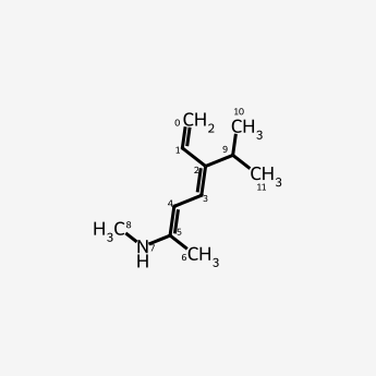 C=C/C(=C\C=C(/C)NC)C(C)C